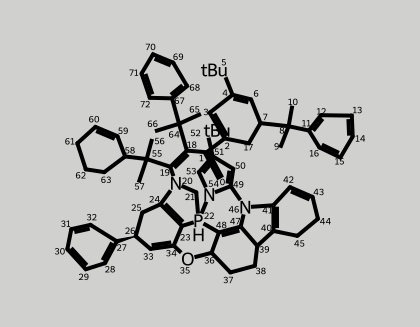 C=C(C1=CC(C(C)(C)C)=CC(C(C)(C)c2ccccc2)C1)/C(=C(\N1C[PH]23C4=C1C[C@H](c1ccccc1)C=C4OC1CCC4C5=C(C=CCC5)N(C4=C12)c1cc(C(C)(C)C)cn13)C(C)(C)C1C=CCCC1)C(C)(C)c1ccccc1